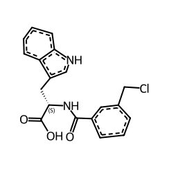 O=C(N[C@@H](Cc1c[nH]c2ccccc12)C(=O)O)c1cccc(CCl)c1